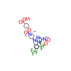 CC[C@@H]1C[C@H](N(Cc2cc(C(F)(F)F)cc(C(F)(F)F)c2)c2ncc(N3CCOC3=O)cn2)C[C@H](CC)N1C(=O)O[C@H]1CC[C@H](C(=O)O)CC1